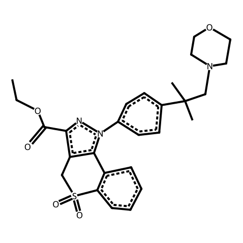 CCOC(=O)c1nn(-c2ccc(C(C)(C)CN3CCOCC3)cc2)c2c1CS(=O)(=O)c1ccccc1-2